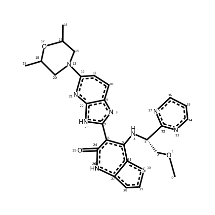 COC[C@H](Nc1c(-c2nc3ccc(N4CC(C)OC(C)C4)nc3[nH]2)c(=O)[nH]c2ccsc12)c1ncccn1